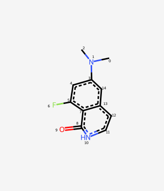 CN(C)c1cc(F)c2c(=O)[nH]ccc2c1